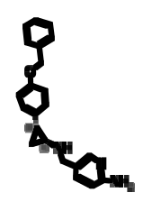 Nc1ccc(CN[C@H]2C[C@@H]2c2ccc(OCc3ccccc3)cc2)cn1